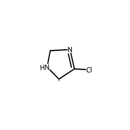 ClC1=NCN[C]1